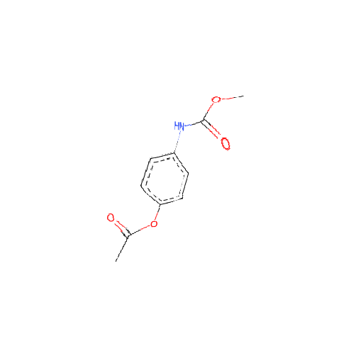 COC(=O)Nc1ccc(OC(C)=O)cc1